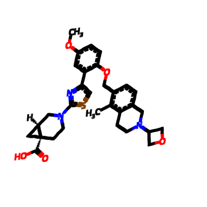 COc1ccc(OCc2ccc3c(c2C)CCN(C2COC2)C3)c(-c2csc(N3CC[C@@]4(C(=O)O)C[C@H]4C3)n2)c1